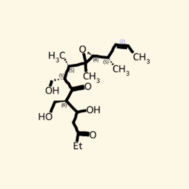 C/C=C\[C@H](C)[C@H]1OC1(C)[C@@H](C)[C@@H](CO)C(=O)[C@H](CO)C(O)CC(=O)CC